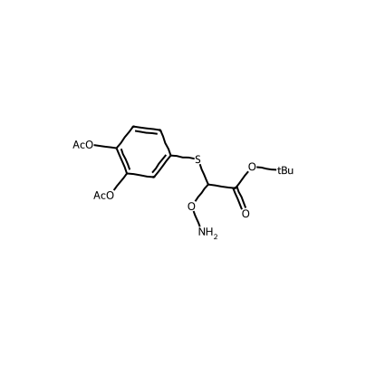 CC(=O)Oc1ccc(SC(ON)C(=O)OC(C)(C)C)cc1OC(C)=O